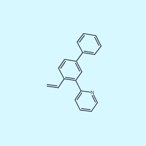 C=Cc1ccc(-c2ccccc2)cc1-c1ccccn1